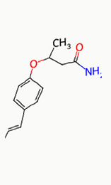 CC(CC(N)=O)Oc1ccc(/C=C/C#N)cc1